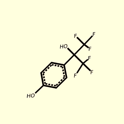 Oc1ccc(C(O)(C(F)(F)F)C(F)(F)F)cc1